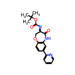 CC(C)(C)OC(=O)/N=C1\COc2ccc(-c3ccccn3)cc2NC1=O